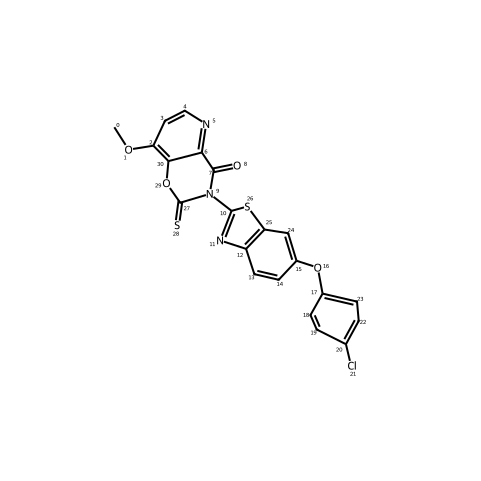 COc1ccnc2c(=O)n(-c3nc4ccc(Oc5ccc(Cl)cc5)cc4s3)c(=S)oc12